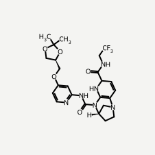 CC1(C)OC[C@H](COc2ccnc(NC(=O)N3C4=C(C=CC(C(=O)NCC(F)(F)F)N4)N4CC[C@H]3C4)c2)O1